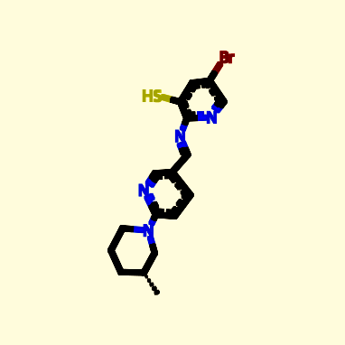 C[C@@H]1CCCN(c2ccc(/C=N/c3ncc(Br)cc3S)cn2)C1